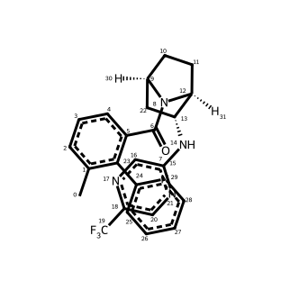 Cc1cccc(C(=O)N2[C@@H]3CC[C@H]2[C@H](Nc2cnc(C(F)(F)F)cn2)C3)c1-c1ccccn1